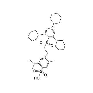 Cc1cc(S(=O)(=O)O)c(C(C)C)cc1CCS(=O)(=O)c1c(C2CCCCC2)cc(C2CCCCC2)cc1C1CCCCC1